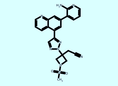 CS(=O)(=O)N1CC(CC#N)(n2ncc(-c3cc(-c4cccnc4N)cc4ncccc34)n2)C1